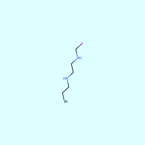 CC(C)CCNCCNCI